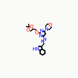 CC1(C)OCC(COc2nc([N]N=Cc3c[nH]c4ccccc34)cc(N3CCOCC3)n2)O1